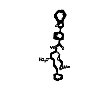 COCOC[C@H](C[C@H](CC=Cc1ccccc1)C(=O)O)NC(=O)c1ccc(-c2cc3ccccc3o2)cc1